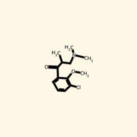 COc1c(Cl)cccc1C(=O)C(C)CN(C)C